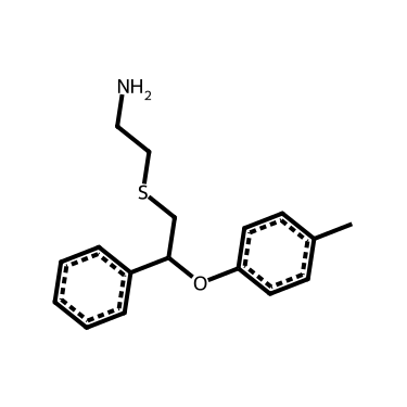 Cc1ccc(OC(CSCCN)c2ccccc2)cc1